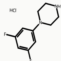 Cl.Fc1cc(F)cc(N2CCNCC2)c1